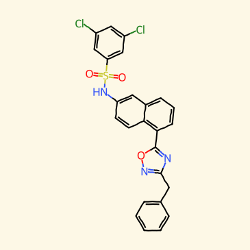 O=S(=O)(Nc1ccc2c(-c3nc(Cc4ccccc4)no3)cccc2c1)c1cc(Cl)cc(Cl)c1